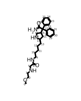 COCCNCC(=O)NCCCCCC1CC(C(C(N)=O)(c2ccccc2)c2ccccc2)CN1